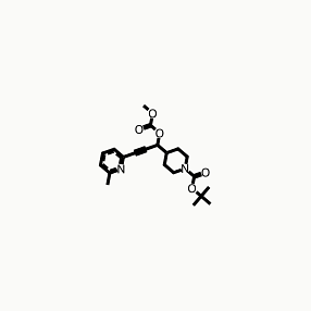 COC(=O)OC(C#Cc1cccc(C)n1)C1CCN(C(=O)OC(C)(C)C)CC1